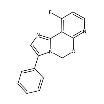 Fc1ccnc2c1-c1ncc(-c3ccccc3)n1CO2